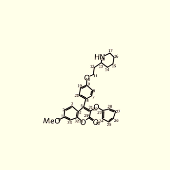 COc1ccc2c(-c3ccc(OCCC4CCCCN4)cc3)c(Oc3ccccc3)c(=O)oc2c1